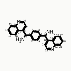 NC(c1ccc(C(N)c2ccnc3ccccc23)cc1)c1ccnc2ccccc12